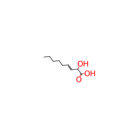 CCCCCC=CC(O)C(=O)O